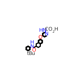 CC(C)(C)c1cccc(NC(=O)C2CCc3ccc(Oc4ccnc(NC(=O)O)c4)cc3C2)c1